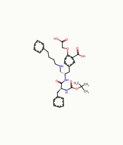 CC(C)(C)OC(=O)N[C@@H](Cc1ccccc1)C(=O)N[C@H](CNCCCCc1ccccc1)Cc1ccc(OCC(=O)O)c(C(=O)O)c1